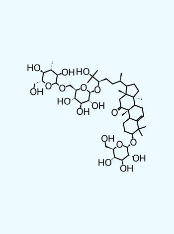 C[C@H]1[C@H](O)[C@@H](CO)OC(OC[C@H]2O[C@@H](O[C@H](CC[C@@H](C)C3CC[C@@]4(C)C5CC=C6C(CC[C@H](O[C@@H]7O[C@H](CO)[C@@H](O)[C@H](O)[C@H]7O)C6(C)C)[C@]5(C)C(=O)C[C@]34C)C(C)(C)O)[C@H](O)[C@@H](O)[C@@H]2O)[C@@H]1O